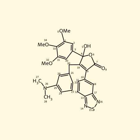 COc1cc(C2(O)OC(=O)C(c3ccc4nsnc4c3)=C2Cc2cccc(N(C)C)c2)cc(OC)c1OC